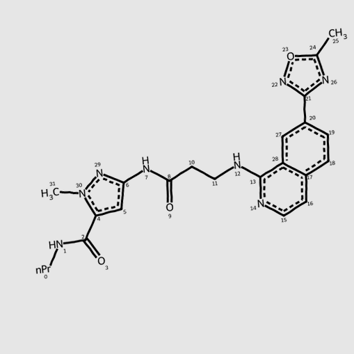 CCCNC(=O)c1cc(NC(=O)CCNc2nccc3ccc(-c4noc(C)n4)cc23)nn1C